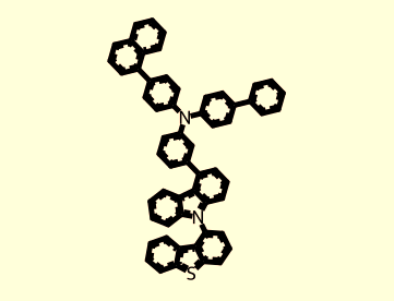 c1ccc(-c2ccc(N(c3ccc(-c4cccc5ccccc45)cc3)c3cccc(-c4cccc5c4c4ccccc4n5-c4cccc5sc6ccccc6c45)c3)cc2)cc1